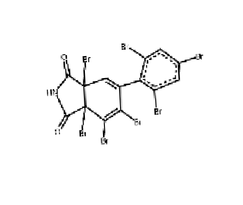 O=C1NC(=O)C2(Br)C(Br)=C(Br)C(c3c(Br)cc(Br)cc3Br)=CC12Br